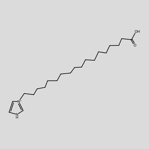 O=C(O)CCCCCCCCCCCCCCCCC[n+]1cc[nH]c1